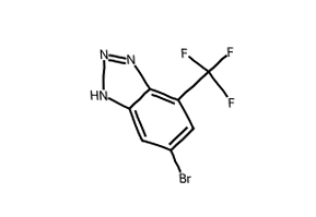 FC(F)(F)c1cc(Br)cc2[nH]nnc12